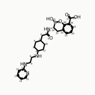 O=C(CC1CCC(NCCNc2ccccn2)CC1)N[C@H]1Cc2cccc(C(=O)O)c2OB1O